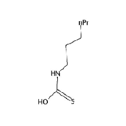 [CH2]CCCCCNC(O)=S